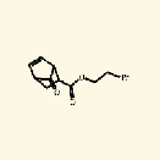 CC(C)CCOC(=O)C1CC2C=CC1C2=O